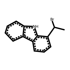 CC(Br)c1cccc2c1[nH]c1ccccc12